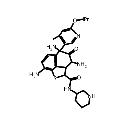 Cc1cc(OC(C)C)ncc1C1(N)C(=O)C(N)C2c3c1ccc(N)c3SC2C(=O)NC1CCCNC1